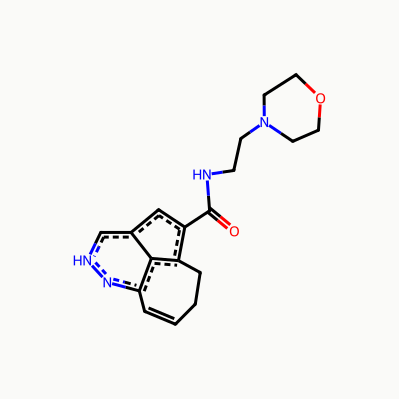 O=C(NCCN1CCOCC1)c1cc2c[nH]nc3c-2c1CCC=C3